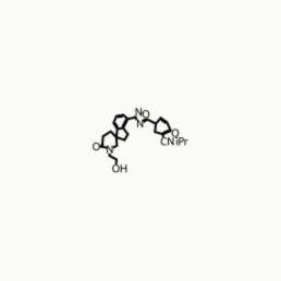 CC(C)OC1=C(C#N)CC(c2nc(-c3cccc4c3CCC43CCC(=O)N(CCO)C3)no2)C=C1